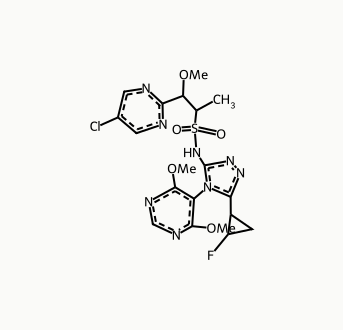 COc1ncnc(OC)c1-n1c(NS(=O)(=O)C(C)C(OC)c2ncc(Cl)cn2)nnc1C1CC1F